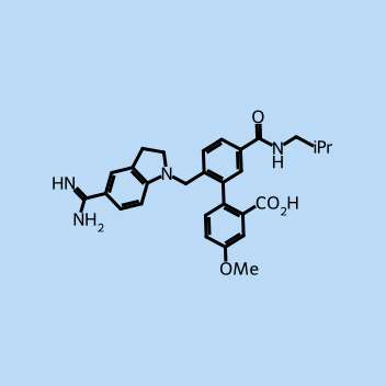 COc1ccc(-c2cc(C(=O)NCC(C)C)ccc2CN2CCc3cc(C(=N)N)ccc32)c(C(=O)O)c1